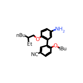 CCCCC(CC)COc1ccc(N)cc1-c1cc(C#N)ccc1OC(C)CC